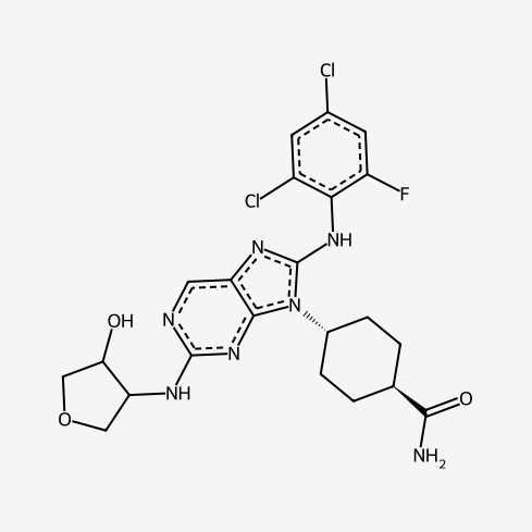 NC(=O)[C@H]1CC[C@H](n2c(Nc3c(F)cc(Cl)cc3Cl)nc3cnc(NC4COCC4O)nc32)CC1